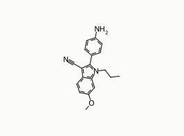 CCCn1c(-c2ccc(N)cc2)c(C#N)c2ccc(OC)cc21